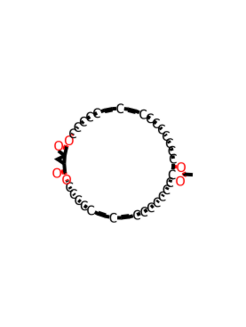 CC(=O)OC1CCCCCCCC/C=C\C/C=C\CCCCCOC(=O)C2CC2(C)C(=O)OCCCCC/C=C\C/C=C\CCCCCCCC1